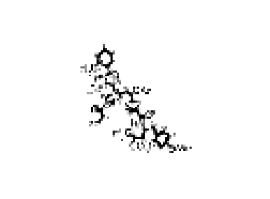 CC[C@@H](C)[C@H](NC(=O)[C@H]1CCCCN1C)C(=O)N(COC(=O)CC(C)C)[C@H](C[C@@H](OC(C)=O)c1nc(C(=O)N[C@@H](Cc2ccc(OC)cc2)C[C@H](C)C(=O)O)cs1)C(C)C